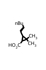 CCCCC=CC1C(C(=O)O)C1(C)C